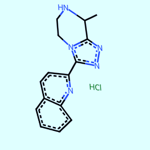 CC1NCCn2c(-c3ccc4ccccc4n3)nnc21.Cl